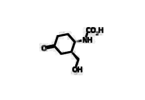 O=C1CC[C@H](NC(=O)O)[C@@H](CO)C1